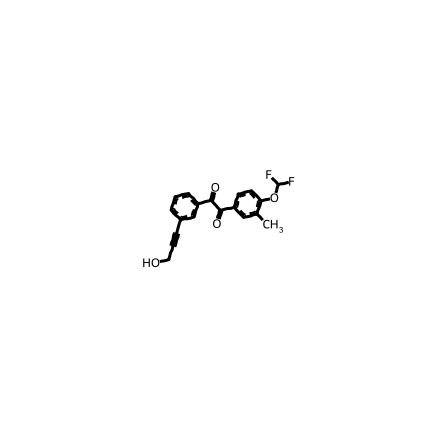 Cc1cc(C(=O)C(=O)c2cccc(C#CCO)c2)ccc1OC(F)F